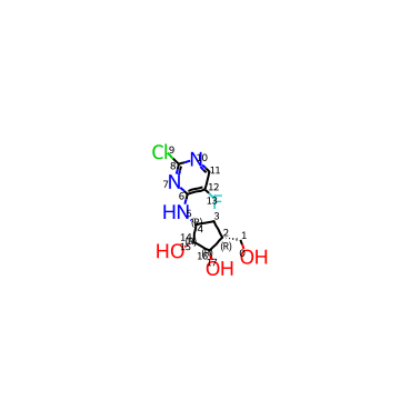 OC[C@H]1C[C@@H](Nc2nc(Cl)ncc2F)[C@@H](O)[C@@H]1O